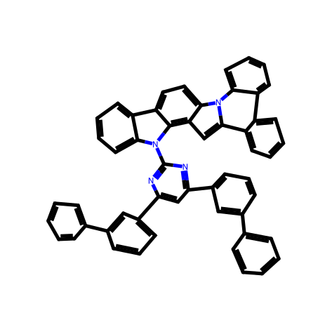 c1ccc(-c2cccc(-c3cc(-c4cccc(-c5ccccc5)c4)nc(-n4c5ccccc5c5ccc6c(cc7c8ccccc8c8ccccc8n76)c54)n3)c2)cc1